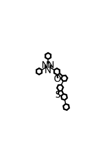 c1ccc(-c2ccc3c(c2)sc2ccc(-c4cccc5c4oc4cc(-c6nc(-c7ccccc7)nc(-c7ccccc7)n6)ccc45)cc23)cc1